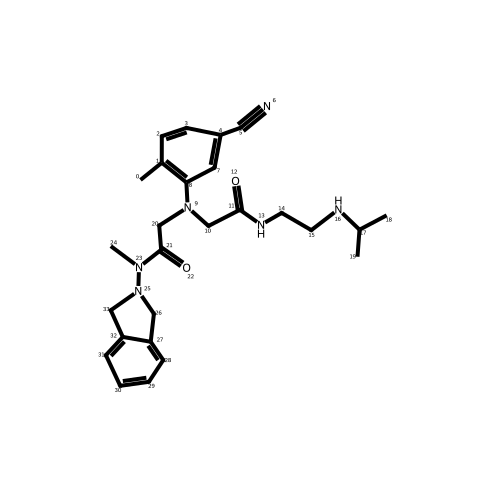 Cc1ccc(C#N)cc1N(CC(=O)NCCNC(C)C)CC(=O)N(C)N1Cc2ccccc2C1